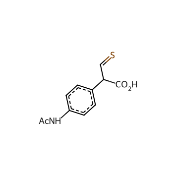 CC(=O)Nc1ccc(C(C=S)C(=O)O)cc1